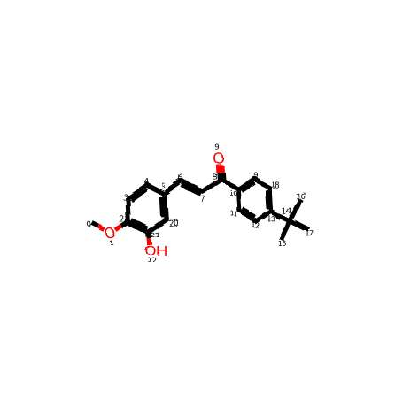 COc1ccc(C=CC(=O)c2ccc(C(C)(C)C)cc2)cc1O